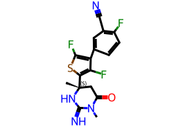 CN1C(=N)N[C@](C)(c2sc(F)c(-c3ccc(F)c(C#N)c3)c2F)CC1=O